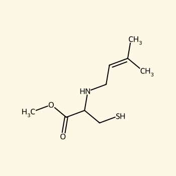 COC(=O)C(CS)NCC=C(C)C